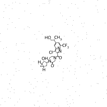 CC(CO)c1cc(C(F)(F)F)n2nc(C(=O)N3CCN([C@H]4C[C@@H]5C[C@@H]5[C@@H]4O)C(=O)C3)c(Cl)c2c1